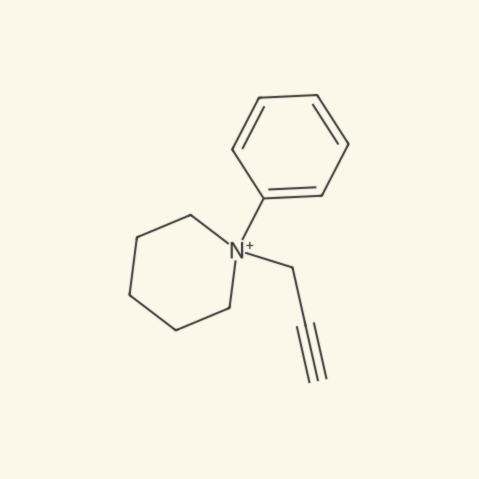 C#CC[N+]1(c2ccccc2)CCCCC1